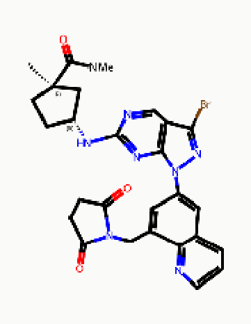 CNC(=O)[C@]1(C)CC[C@@H](Nc2ncc3c(Br)nn(-c4cc(CN5C(=O)CCC5=O)c5ncccc5c4)c3n2)C1